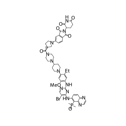 CCc1cc(Nc2ncc(Br)c(Nc3ccc4nccnc4c3P(C)(C)=O)n2)c(OC)cc1N1CCC(N2CCN(C(=O)[C@H]3CCN(c4ccc5c(c4)C(=O)N(C4CCC(=O)NC4=O)C5=O)C3)CC2)CC1